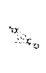 CCN(CC)CCNc1c(N2CCN(S(=O)(=O)c3ccc(C(F)(F)F)cc3[N+](=O)[O-])CC2)cnn(-c2ccccc2)c1=O